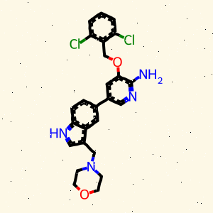 Nc1ncc(-c2ccc3[nH]cc(CN4CCOCC4)c3c2)cc1OCc1c(Cl)cccc1Cl